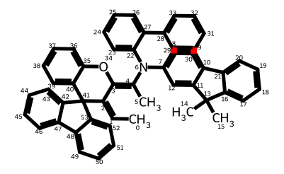 C/C=C1\C(=C(/C)N(c2ccc3c(c2)C(C)(C)c2ccccc2-3)c2ccccc2-c2c#cccc2)Oc2ccccc2C12c1ccccc1-c1ccccc12